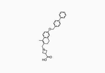 CC1=C(CN2CC(C(=O)O)C2)CCc2cc(OCc3ccc(-c4ccccc4)cc3)ccc21